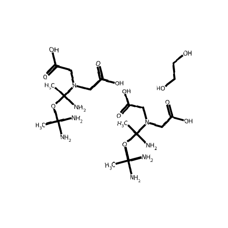 CC(N)(N)OC(C)(N)N(CC(=O)O)CC(=O)O.CC(N)(N)OC(C)(N)N(CC(=O)O)CC(=O)O.OCCO